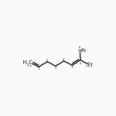 C=CCCCC=C(CC)CCC